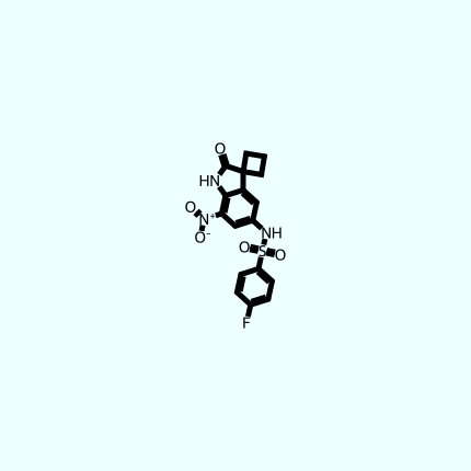 O=C1Nc2c([N+](=O)[O-])cc(NS(=O)(=O)c3ccc(F)cc3)cc2C12CCC2